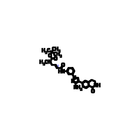 CN(C/C=C/C(=O)Nc1cccc(-n2cc(-c3ccc4c(c3)CCNC4=O)c(N)n2)c1)C(=O)OC(C)(C)C